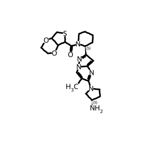 Cc1cn2nc([C@@H]3CCCCN3C(=O)C3SCC4OCCOC43)cc2nc1N1CC[C@H](N)C1